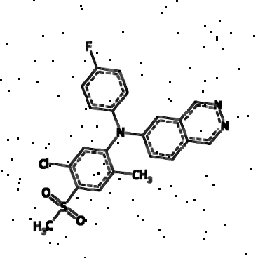 Cc1cc(S(C)(=O)=O)c(Cl)cc1N(c1ccc(F)cc1)c1ccc2cnncc2c1